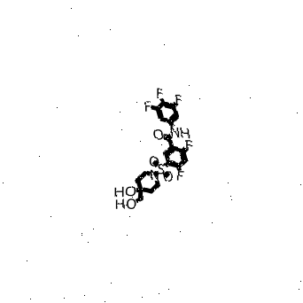 O=C(Nc1cc(F)c(F)c(F)c1)c1cc(S(=O)(=O)N2CCC(O)(CO)CC2)c(F)cc1F